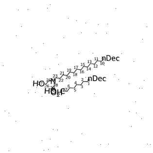 CCCCCCCCCCCCCCCCCC(=O)O.CCCCCCCCCCCCCCCCCCCCCCCCN(CCO)CCO